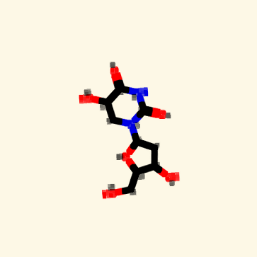 O=C1NC(=O)N(C2CC(O)C(CO)O2)CC1O